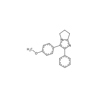 COc1ccc(-c2c(-c3ccccc3)nc3n2CCC3)cc1